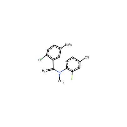 C=C(c1cc(NC)ccc1Cl)N(C)c1ccc(C#N)cc1F